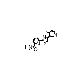 CNC(=O)c1cccc(-c2nc(-c3cnccc3C)cs2)n1